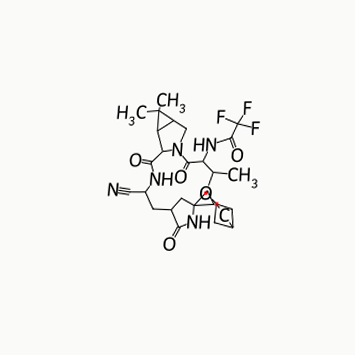 CC(OC12CC(C1)C2)C(NC(=O)C(F)(F)F)C(=O)N1CC2C(C1C(=O)NC(C#N)CC1CC3(CC3)NC1=O)C2(C)C